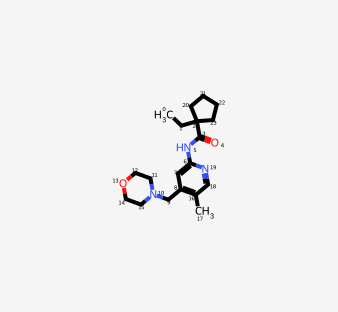 CCC1(C(=O)Nc2cc(CN3CCOCC3)c(C)cn2)CCCC1